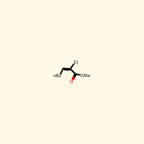 CCCCC=C(CC)C(=O)OC